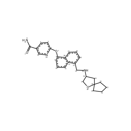 NC(=O)c1ccc(Oc2cccc3c(CNC4COC5(CCCC5)C4)cccc23)nc1